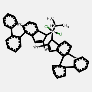 CCCC1=Cc2c(ccc(C(C)C)c2-c2ccccc2-c2ccccc2)[CH]1[Zr]([Cl])([Cl])([CH]1C(CCC)=Cc2c1ccc(C(C)C)c2-c1ccccc1-c1ccccc1)[SiH](C)C